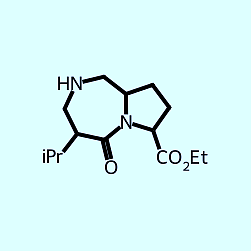 CCOC(=O)C1CCC2CNCC(C(C)C)C(=O)N21